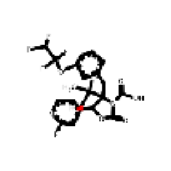 CC(C)(C)C1(Cc2cccc(OC(F)(F)C(F)F)c2)C(c2ccnc(F)c2)OC(=O)N1C(=O)O